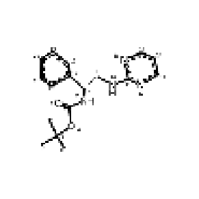 CC(C)(C)OC(=O)N[C@@H](CNc1ncccn1)c1ccccc1